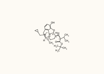 CO[C@@]12CC[C@H](N[C@H](C(=O)OC(C)(C)C)C(C)C)[C@@H]3Oc4c(O)ccc5c4[C@@]31CCN(CC1CC1)[C@@H]2C5